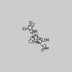 O=C1NCCC1CC(NC(=O)C1C2CCCC2CN1C(=O)c1cc2c(Cl)cc(Cl)c(F)c2[nH]1)C(=O)CO